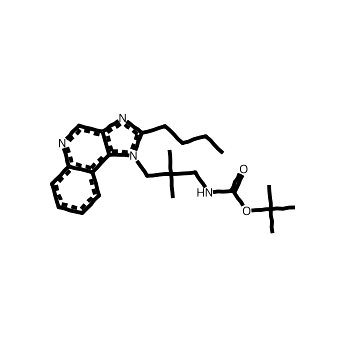 CCCCc1nc2cnc3ccccc3c2n1CC(C)(C)CNC(=O)OC(C)(C)C